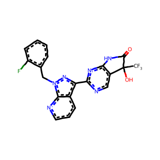 O=C1Nc2nc(-c3nn(Cc4ccccc4F)c4ncccc34)ncc2C1(O)C(F)(F)F